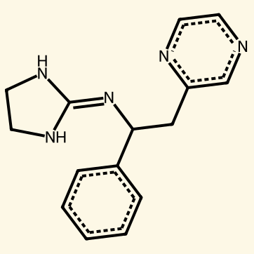 c1ccc(C(Cc2cnccn2)N=C2NCCN2)cc1